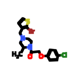 CC1CN(Cc2ccsc2Br)CCN1C(=O)COc1ccc(Cl)cc1